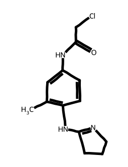 Cc1cc(NC(=O)CCl)ccc1NC1=NCCC1